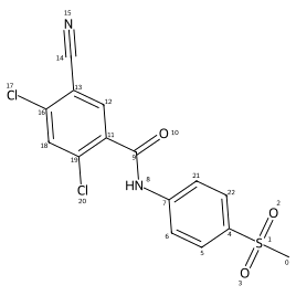 CS(=O)(=O)c1ccc(NC(=O)c2cc(C#N)c(Cl)cc2Cl)cc1